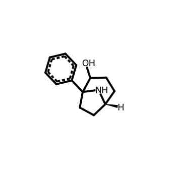 OC1CC[C@@H]2CCC1(c1ccccc1)N2